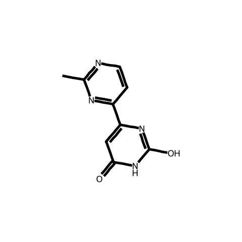 Cc1nccc(-c2cc(=O)[nH]c(O)n2)n1